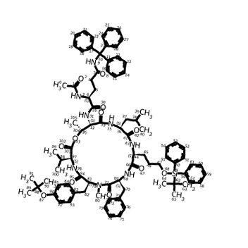 CC(=O)N[C@@H](CCC(=O)NC(c1ccccc1)(c1ccccc1)c1ccccc1)C(=O)N[C@@H]1C(=O)N[C@@H](CC(C)C)C(=O)N[C@@H](CCCO[Si](c2ccccc2)(c2ccccc2)C(C)(C)C)C(=O)N[C@@H](Cc2ccccc2)C(=O)N(C)[C@@H](Cc2ccc(OC(C)(C)C)cc2)C(=O)N[C@@H](C(C)C)C(=O)O[C@@H]1C